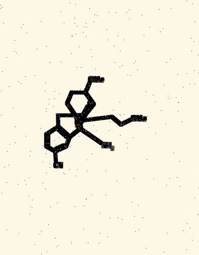 COCCN1C(=O)C2(N=C1N)c1cc(C#N)ccc1CC21CCC(OC)CC1